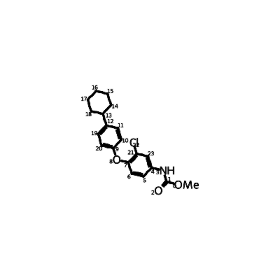 COC(=O)Nc1ccc(Oc2ccc(C3CCCCC3)cc2)c(Cl)c1